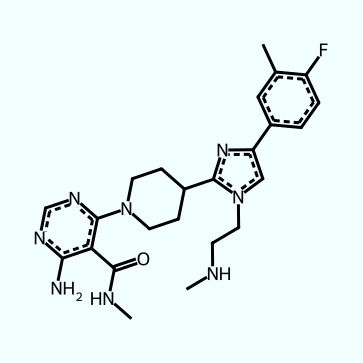 CNCCn1cc(-c2ccc(F)c(C)c2)nc1C1CCN(c2ncnc(N)c2C(=O)NC)CC1